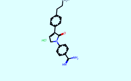 Cl.N=C(N)c1ccc(N2CC=C(c3ccc(CCC(=O)O)cc3)C2=O)cc1